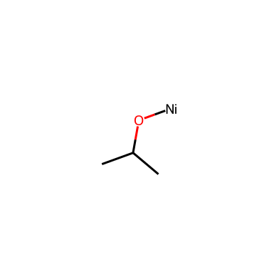 CC(C)[O][Ni]